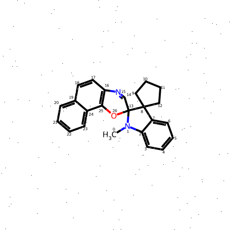 CN1c2ccccc2C2(CCCC2)C12C=Nc1ccc3ccccc3c1O2